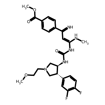 CN/C(=C\C(=N)c1ccc(C(=O)OC)cc1)NC(=O)N[C@@H]1CN(CCOC)C[C@H]1c1ccc(F)c(F)c1